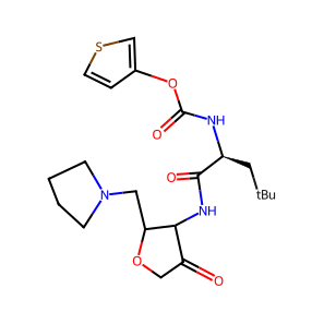 CC(C)(C)C[C@H](NC(=O)Oc1ccsc1)C(=O)NC1C(=O)COC1CN1CCCC1